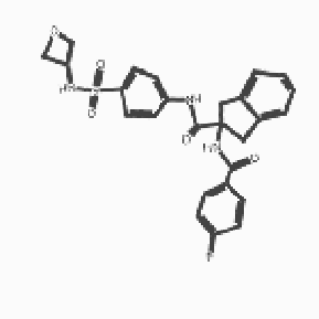 O=C(NC1(C(=O)Nc2ccc(S(=O)(=O)NC3COC3)cc2)Cc2ccccc2C1)c1ccc(F)cc1